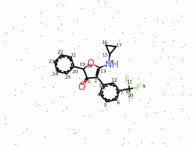 O=C1C(c2cccc(C(F)(F)F)c2)=C(NC2CC2)OC1c1ccccc1